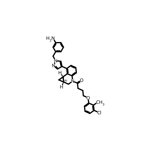 Cc1c(Cl)cccc1OCCCC(=O)N1C[C@@H]2C[C@@H]2c2c(-c3cnn(Cc4cccc(N)c4)c3)cccc21